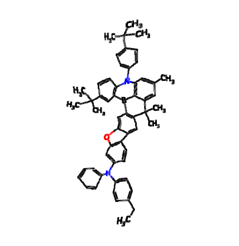 CCc1ccc(N(c2ccccc2)c2ccc3c(c2)oc2cc4c(cc23)C(C)(C)c2cc(C)cc3c2B4c2cc(C(C)(C)C)ccc2N3c2ccc(C(C)(C)C)cc2)cc1